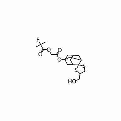 CC(C)(F)C(=O)OCC(=O)OC12CC3CC(C1)C1(SCC(CO)S1)C(C3)C2